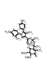 COC1=C(OC)C(=O)C(C(C)(C)CC(C)(C)OC(=O)c2nn(-c3ccc(C)cc3C)c(-c3ccc(C)cc3)c2C)=C(C)C1=O